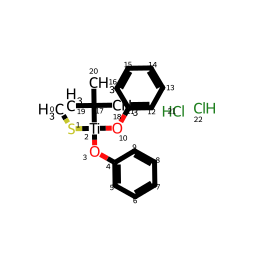 C[S][Ti]([O]c1ccccc1)([O]c1ccccc1)[C](C)(C)C.Cl.Cl